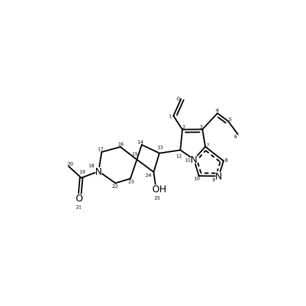 C=CC1=C(/C=C\C)c2cncn2C1C1CC2(CCN(C(C)=O)CC2)C1O